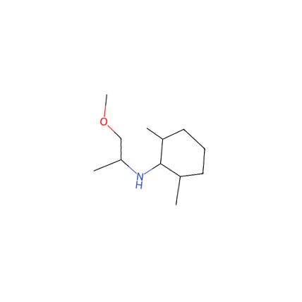 COCC(C)NC1C(C)CCCC1C